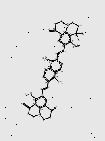 C=C1CCN2CCC(=C)c3c(OC)c(C=Cc4ccc5c(C(F)(F)F)c(C=Cc6cc7c8c(c6OC)C(C)(C)CCN8CCC7=C)ccc5c4C(F)(F)F)cc1c32